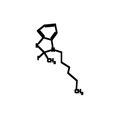 CCCCCCN1c2ccccc2SC1(C)I